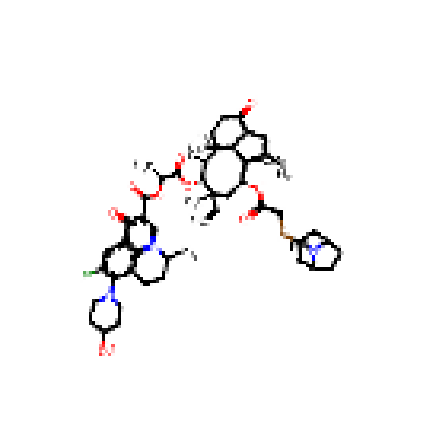 C=C[C@@]1(C)C[C@H](OC(=O)CSC2CC3CCC(C2)N3C)[C@@]2(C)C(C)CC3C(=O)CCC(C)(C32)[C@H](C)[C@H]1OC(=O)C(C)OC(=O)c1cn2c3c(c(N4CCC(O)CC4)c(F)cc3c1=O)CCC2C